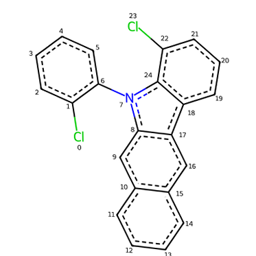 Clc1ccccc1-n1c2cc3ccccc3cc2c2cccc(Cl)c21